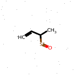 [CH]=CC(C)[S+]=O